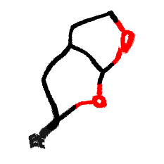 CCC1CC2CCOC2O1